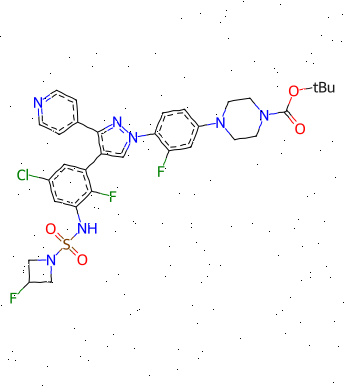 CC(C)(C)OC(=O)N1CCN(c2ccc(-n3cc(-c4cc(Cl)cc(NS(=O)(=O)N5CC(F)C5)c4F)c(-c4ccncc4)n3)c(F)c2)CC1